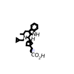 CC1Cc2c([nH]c3ccccc23)C([C@H]2CC3(/C=C/C(=O)O)CC2C3)N1CC1CC1